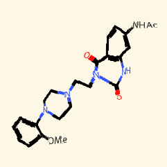 COc1ccccc1N1CCN(CCn2c(=O)[nH]c3cc(NC(C)=O)ccc3c2=O)CC1